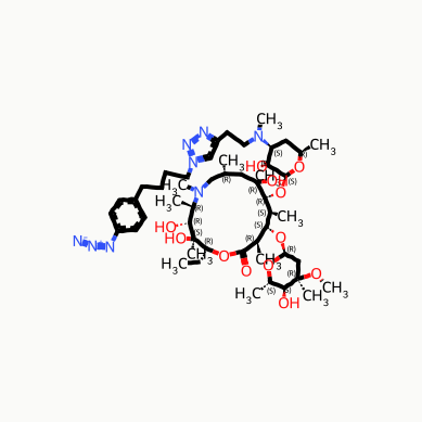 CC[C@H]1OC(=O)[C@H](C)[C@@H](O[C@H]2C[C@@](C)(OC)[C@@H](O)[C@H](C)O2)[C@H](C)[C@@H](O[C@@H]2O[C@H](C)C[C@H](N(C)CCc3cn(CCCCc4ccc(N=[N+]=[N-])cc4)nn3)[C@H]2O)[C@](C)(O)C[C@@H](C)CN(C)[C@H](C)[C@@H](O)[C@]1(C)O